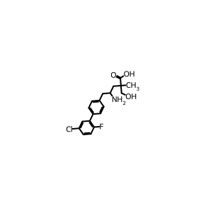 CC(CO)(CC(N)Cc1ccc(-c2cc(Cl)ccc2F)cc1)C(=O)O